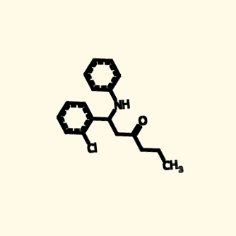 CCCC(=O)CC(Nc1ccccc1)c1ccccc1Cl